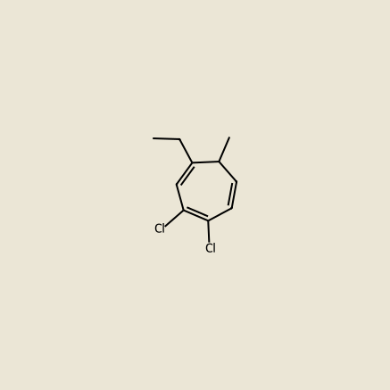 CCC1=CC(Cl)=C(Cl)C=CC1C